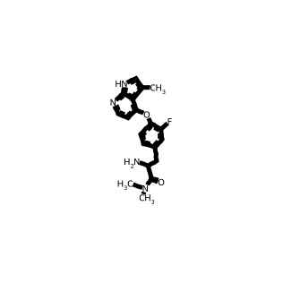 Cc1c[nH]c2nccc(Oc3ccc(CC(N)C(=O)N(C)C)cc3F)c12